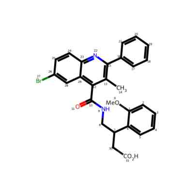 COc1ccccc1C(CNC(=O)c1c(C)c(-c2ccccc2)nc2ccc(Br)cc12)CC(=O)O